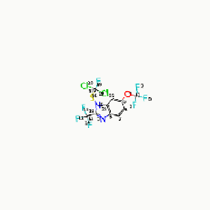 FC(F)(F)Oc1ccc2nc(C(F)(F)F)n(SC(F)(Cl)Cl)c2c1